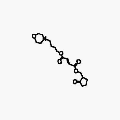 O=C(/C=C/C(=O)OCC1CCCC1=O)OCCCCN1CCOCC1